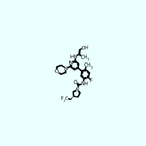 C/C(=C\O)Nc1cc(-c2cc(NC(=O)N3CC[C@@H](CC(F)(F)F)C3)c(F)cc2C)cc(N2CCOCC2)n1